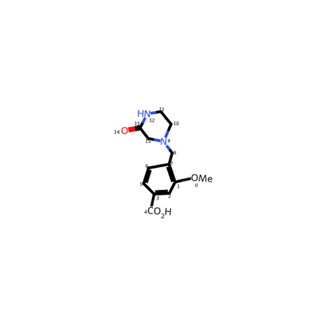 COc1cc(C(=O)O)ccc1CN1CCNC(=O)C1